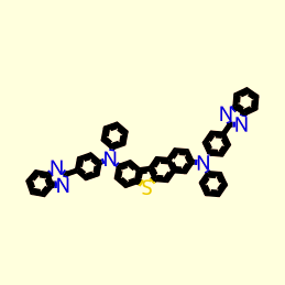 c1ccc(N(c2ccc(C3N=c4ccccc4=N3)cc2)c2ccc3cc4c(cc3c2)sc2ccc(N(c3ccccc3)c3ccc(C5N=c6ccccc6=N5)cc3)cc24)cc1